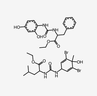 CCOC(=O)C(CC(C)C)NC(=O)NC1C=C(Br)C(C)(O)C(Br)=C1.CCOC(=O)C(Cc1ccccc1)NC(=O)Nc1ccc(O)cc1O